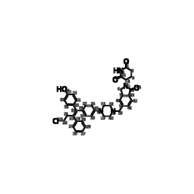 O=C1CCC(N2Cc3cc(CN4CCN(c5ccc(C(=C(CCCl)c6ccccc6)c6ccc(O)cc6)cc5)CC4)ccc3C2=O)C(=O)N1